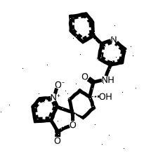 O=C1O[C@]2(CC[C@](O)(C(=O)Nc3ccnc(-c4ccccc4)c3)CC2)c2c1ccc[n+]2[O-]